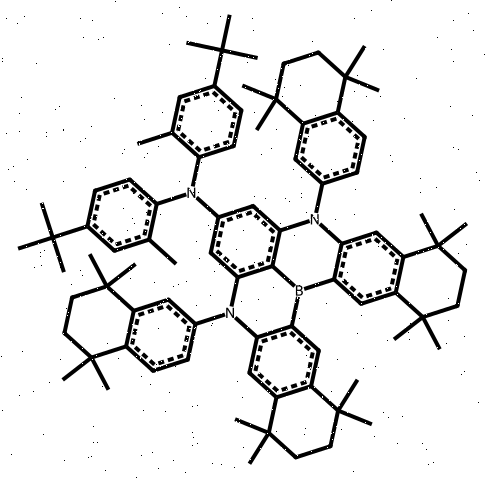 Cc1cc(C(C)(C)C)ccc1N(c1cc2c3c(c1)N(c1ccc4c(c1)C(C)(C)CCC4(C)C)c1cc4c(cc1B3c1cc3c(cc1N2c1ccc2c(c1)C(C)(C)CCC2(C)C)C(C)(C)CCC3(C)C)C(C)(C)CCC4(C)C)c1ccc(C(C)(C)C)cc1C